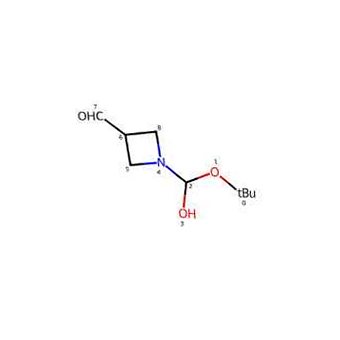 CC(C)(C)OC(O)N1CC(C=O)C1